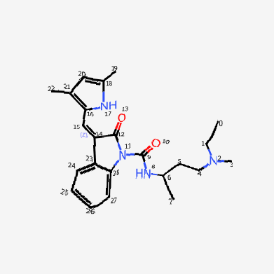 CCN(C)CCC(C)NC(=O)N1C(=O)/C(=C\c2[nH]c(C)cc2C)c2ccccc21